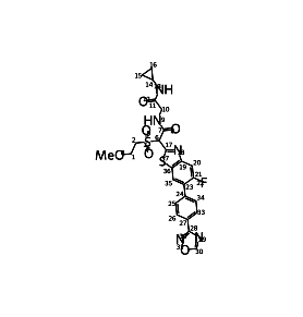 COCCS(=O)(=O)C(C(=O)NCC(=O)NC1CC1)c1nc2cc(F)c(-c3ccc(-c4ncon4)cc3)cc2s1